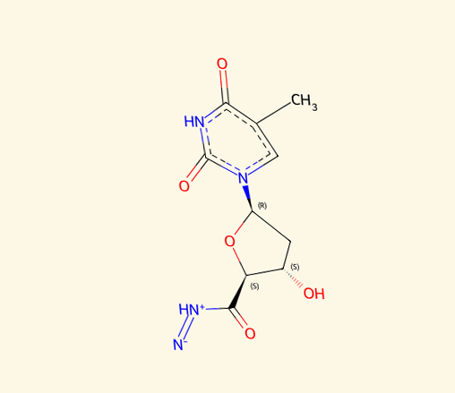 Cc1cn([C@H]2C[C@H](O)[C@@H](C(=O)[NH+]=[N-])O2)c(=O)[nH]c1=O